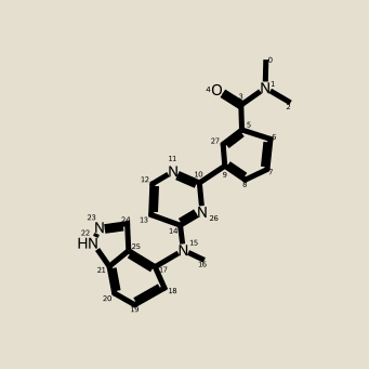 CN(C)C(=O)c1cccc(-c2nccc(N(C)c3cccc4[nH]ncc34)n2)c1